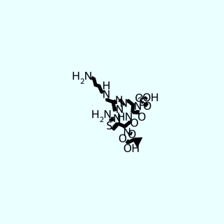 NCCCCNCc1cnn(CC2C(NC(=O)/C(=N\OC3(C(=O)O)CC3)c3csc(N)n3)C(=O)N2S(=O)(=O)O)n1